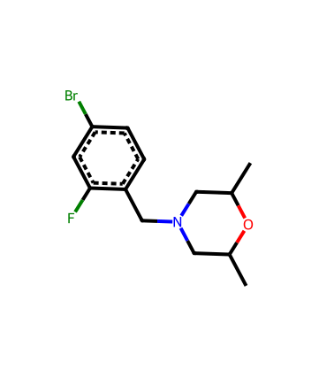 CC1CN(Cc2ccc(Br)cc2F)CC(C)O1